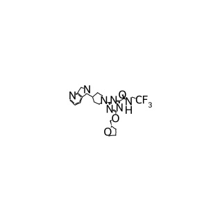 O=C(NCC(F)(F)F)c1nc(OC[C@H]2CCCO2)nc(N2CCC(C3=NCc4ncccc43)CC2)n1